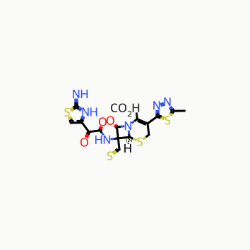 Cc1nnc(C2=C(C(=O)O)N3C(=O)C(C=S)(NC(=O)C(=O)c4csc(=N)[nH]4)[C@@H]3SC2)s1